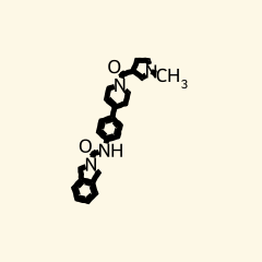 CN1CCC(C(=O)N2CC=C(c3ccc(NC(=O)N4Cc5ccccc5C4)cc3)CC2)C1